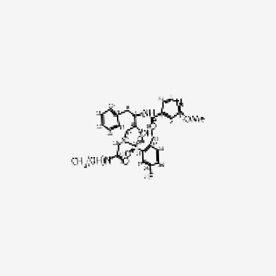 COc1cc(C(=O)NC(Cc2ccccc2)C(O)CN(CC(=O)N(C)O)S(=O)(=O)c2cc(F)ccc2C)ccn1